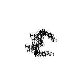 CC(C)Oc1ccc(Cc2nnn(C3OC(COC(=O)OCC4OC(n5nnc(Cc6ccc(OC(C)C)cc6)n5)C(O)C(O)C4O)C(O)C(O)C3O)n2)cc1